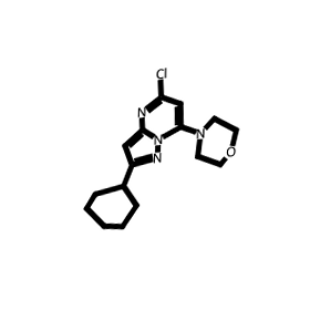 Clc1cc(N2CCOCC2)n2nc(C3CCCCC3)cc2n1